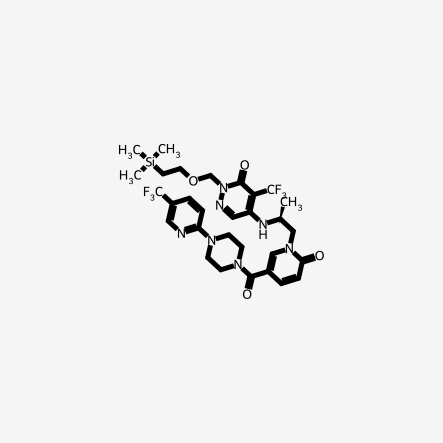 C[C@@H](Cn1cc(C(=O)N2CCN(c3ccc(C(F)(F)F)cn3)CC2)ccc1=O)Nc1cnn(COCC[Si](C)(C)C)c(=O)c1C(F)(F)F